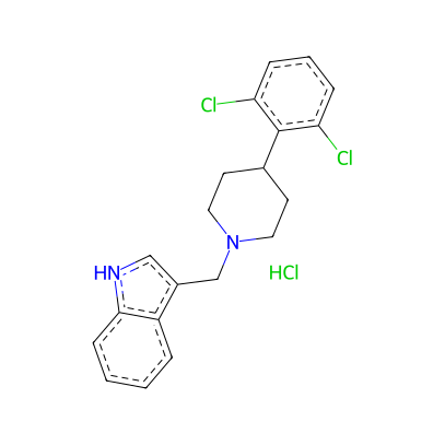 Cl.Clc1cccc(Cl)c1C1CCN(Cc2c[nH]c3ccccc23)CC1